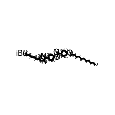 C=CCCCCCCCCCOc1ccc(C(=O)Oc2ccc(-c3ncc(CCCCCC(C)CC)cn3)cc2)cc1